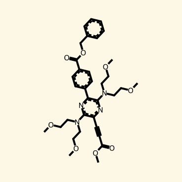 COCCN(CCOC)c1nc(-c2ccc(C(=O)OCc3ccccc3)cc2)c(N(CCOC)CCOC)nc1C#CC(=O)OC